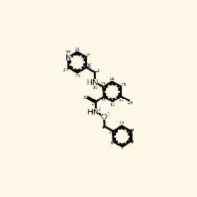 C=C(NOCc1ccccc1)c1cc(C)ccc1NCc1ccncc1